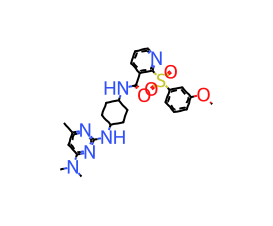 COc1cccc(S(=O)(=O)c2ncccc2C(=O)NC2CCC(Nc3nc(C)cc(N(C)C)n3)CC2)c1